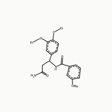 CCOc1ccc(C(CC(N)=O)NC(=O)c2cccc(OC)c2)cc1OCC